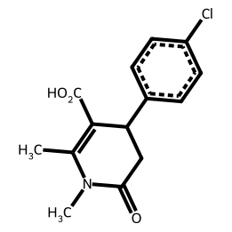 CC1=C(C(=O)O)C(c2ccc(Cl)cc2)CC(=O)N1C